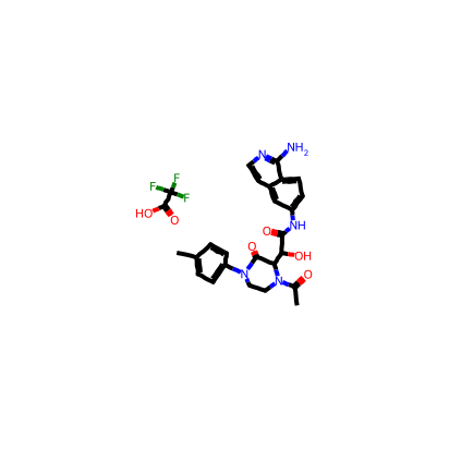 CC(=O)N1CCN(c2ccc(C)cc2)C(=O)C1C(O)C(=O)Nc1ccc2c(N)nccc2c1.O=C(O)C(F)(F)F